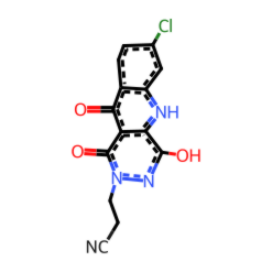 N#CCCn1nc(O)c2[nH]c3cc(Cl)ccc3c(=O)c2c1=O